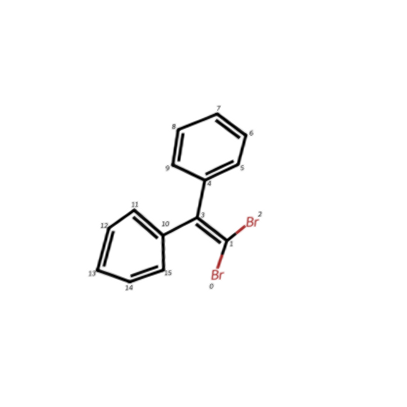 BrC(Br)=C(c1ccccc1)c1ccccc1